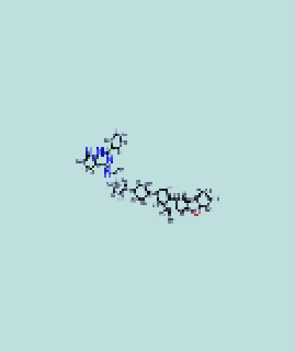 CC(/N=C(\N=C(/N)c1ccccc1)c1ccccc1)C1C=CC=C(c2ccc(-c3ccc4c(c3)C(C)(C)c3cc5oc6ccccc6c5cc3-4)cc2)C1